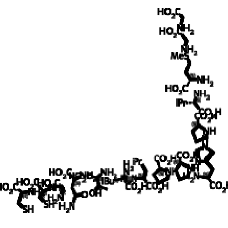 CC(C)C[C@H](N)C(=O)O.CC(C)[C@H](N)C(=O)O.CC[C@H](C)[C@H](N)C(=O)O.CSCC[C@H](N)C(=O)O.C[C@@H](O)[C@H](N)C(=O)O.NC(=O)C[C@H](N)C(=O)O.NCC(=O)O.NCC(=O)O.NCC(=O)O.N[C@@H](CS)C(=O)O.N[C@@H](CS)C(=O)O.N[C@@H](Cc1c[nH]cn1)C(=O)O.O=C(O)[C@@H]1CCCN1.O=C(O)[C@@H]1CCCN1.O=C(O)[C@@H]1CCCN1